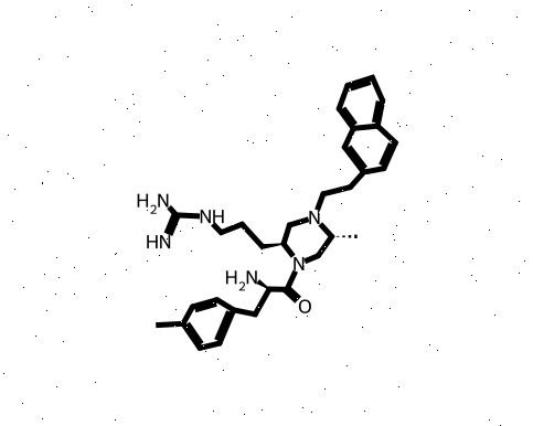 Cc1ccc(C[C@@H](N)C(=O)N2C[C@@H](C)N(CCc3ccc4ccccc4c3)C[C@@H]2CCCNC(=N)N)cc1